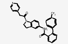 O=C(Nc1ccc2c(c1)CCN2C(=O)Cc1ccncc1)c1ccccc1-c1ccc(C(F)(F)F)cc1